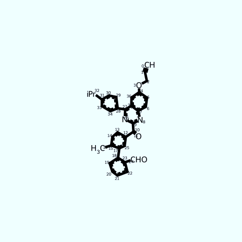 C#CCOc1ccc2nc(C(=O)c3ccc(C)c(-c4ccccc4C=O)c3)nc(-c3ccc(C(C)C)cc3)c2c1